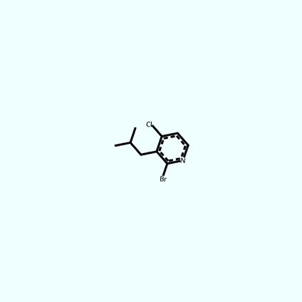 CC(C)Cc1c(Cl)ccnc1Br